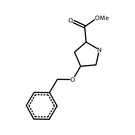 COC(=O)C1CC(OCc2ccccc2)C[N]1